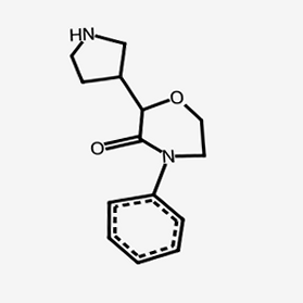 O=C1C(C2CCNC2)OCCN1c1ccccc1